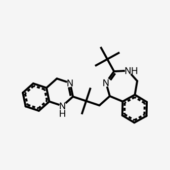 CC(C)(C)C1=NC(CC(C)(C)C2=NCc3ccccc3N2)c2ccccc2CN1